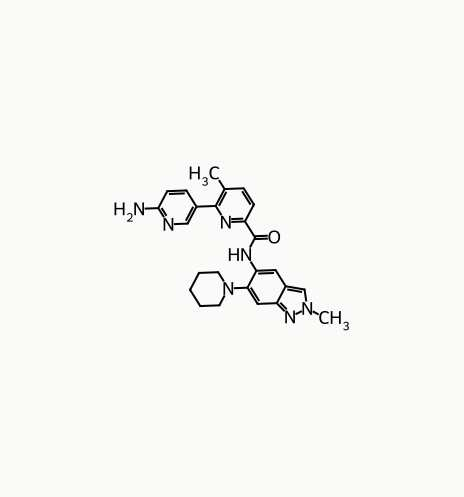 Cc1ccc(C(=O)Nc2cc3cn(C)nc3cc2N2CCCCC2)nc1-c1ccc(N)nc1